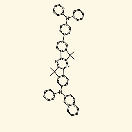 CC1(C)c2cc(-c3ccc(N(c4ccccc4)c4ccccc4)cc3)ccc2-c2nc3c(nc21)-c1ccc(N(c2ccccc2)c2ccc4ccccc4c2)cc1C3(C)C